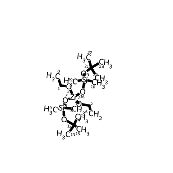 CC[O][Zr]([O]CC)([O][Si](C)(C)OC(C)(C)C)[O][Si](C)(C)OC(C)(C)C